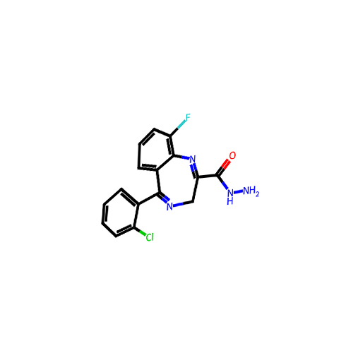 NNC(=O)C1=Nc2c(F)cccc2C(c2ccccc2Cl)=NC1